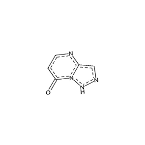 O=c1ccnc2cn[nH]n12